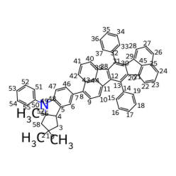 CC1(C)CC2c3cc(-c4ccc5c6c(-c7ccccc7)c7c8cccc9cccc(c7c(-c7ccccc7)c6c6cccc4c65)c98)ccc3N(c3ccccc3)C2(C)C1